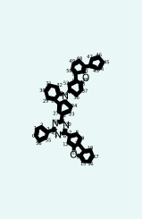 c1ccc(-c2nc(-c3ccc4c(c3)oc3ccccc34)nc(-c3ccc4c(c3)c3ccccc3n4-c3ccc4oc5c(-c6ccccc6)cccc5c4c3)n2)cc1